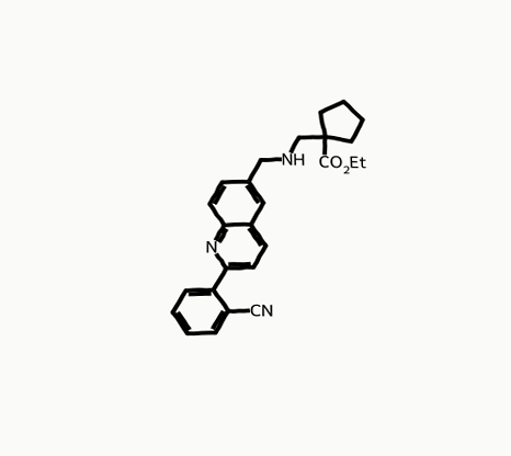 CCOC(=O)C1(CNCc2ccc3nc(-c4ccccc4C#N)ccc3c2)CCCC1